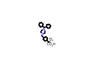 C[C@@H](C(=O)O)c1ccc(CN2CCN(C(c3ccccc3)c3ccccc3)CC2)cc1